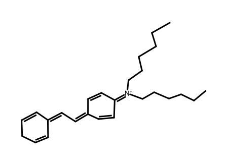 CCCCCC[N+](CCCCCC)=C1C=CC(=CC=C2C=CCC=C2)C=C1